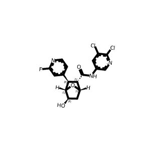 O=C(Nc1cnc(Cl)c(Cl)c1)[C@H]1[C@H](c2ccnc(F)c2)[C@@H]2O[C@H]1C[C@H]2O